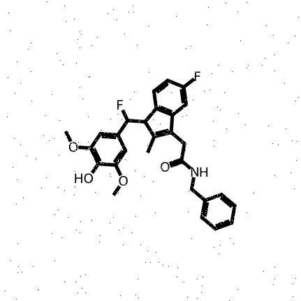 COc1cc(C(F)C2C(C)=C(CC(=O)NCc3ccccc3)c3cc(F)ccc32)cc(OC)c1O